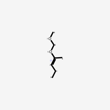 CC/C=C(\C)OCOC